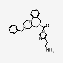 NCCc1cn(C(=O)N2Cc3ccccc3N3CCN(Cc4ccccc4)CC3C2)cn1